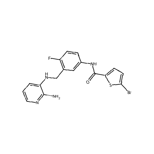 Nc1ncccc1NCc1cc(NC(=O)c2ccc(Br)s2)ccc1F